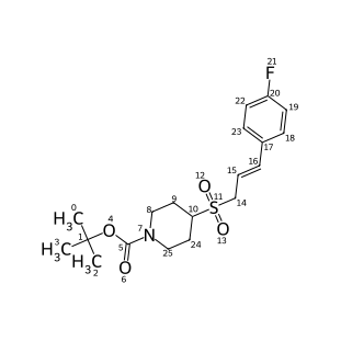 CC(C)(C)OC(=O)N1CCC(S(=O)(=O)CC=Cc2ccc(F)cc2)CC1